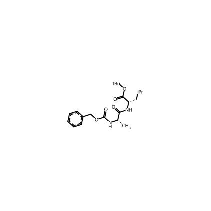 CC(C)C[C@H](NC(=O)[C@H](C)NC(=O)OCc1ccccc1)C(=O)OC(C)(C)C